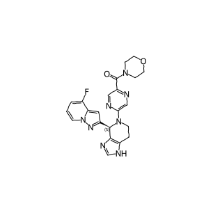 O=C(c1cnc(N2CCc3[nH]cnc3[C@H]2c2cc3c(F)cccn3n2)cn1)N1CCOCC1